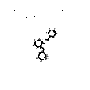 CC1(OCc2ccccc2)CCCCN1CC1CCCNC1